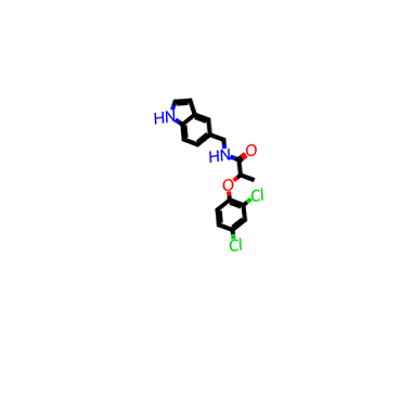 CC(Oc1ccc(Cl)cc1Cl)C(=O)NCc1ccc2[nH]ccc2c1